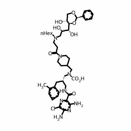 CCCCCCN(CCC(=O)N1CCC(CN(C[C@H](CNC(=O)c2nc(Cl)c(N)nc2N)Cc2ccccc2C)C(=O)O)CC1)C[C@@H](O)[C@@H](O)[C@@H]1O[C@H](c2ccccc2)OC[C@H]1O